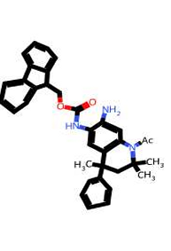 CC(=O)N1c2cc(N)c(NC(=O)OCC3c4ccccc4-c4ccccc43)cc2C(C)(c2ccccc2)CC1(C)C